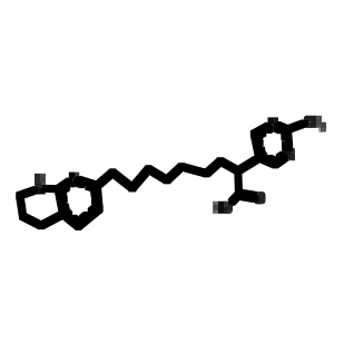 Cc1ncc(C(CCCCCCCc2ccc3c(n2)NCCC3)C(=O)O)cn1